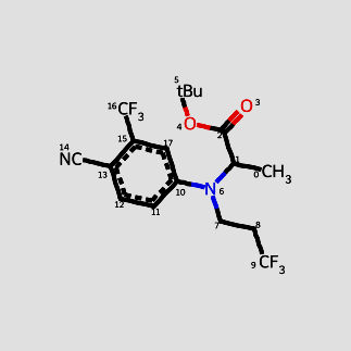 CC(C(=O)OC(C)(C)C)N(CCC(F)(F)F)c1ccc(C#N)c(C(F)(F)F)c1